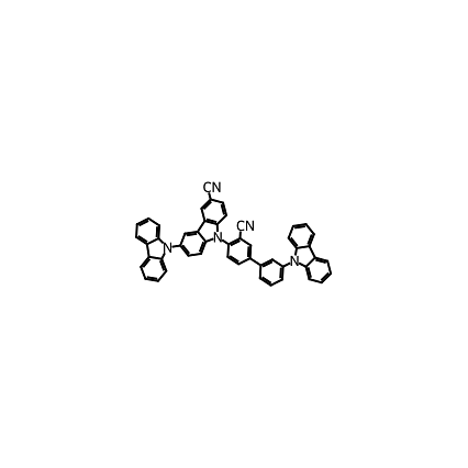 N#Cc1ccc2c(c1)c1cc(-n3c4ccccc4c4ccccc43)ccc1n2-c1ccc(-c2cccc(-n3c4ccccc4c4ccccc43)c2)cc1C#N